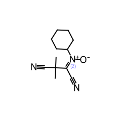 CC(C)(C#N)/C(C#N)=[N+](/[O-])C1CCCCC1